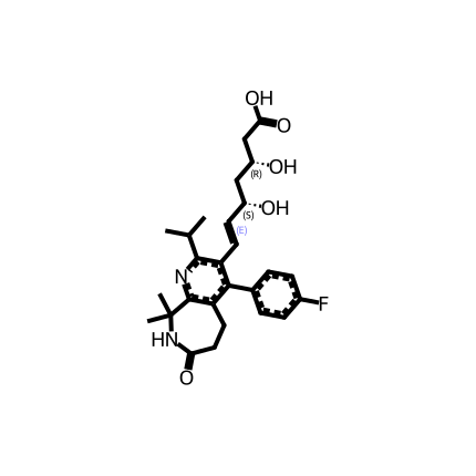 CC(C)c1nc2c(c(-c3ccc(F)cc3)c1/C=C/[C@@H](O)C[C@@H](O)CC(=O)O)CCC(=O)NC2(C)C